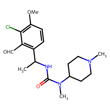 COc1ccc(C(C)NC(=O)N(C)C2CCN(C)CC2)c(C=O)c1Cl